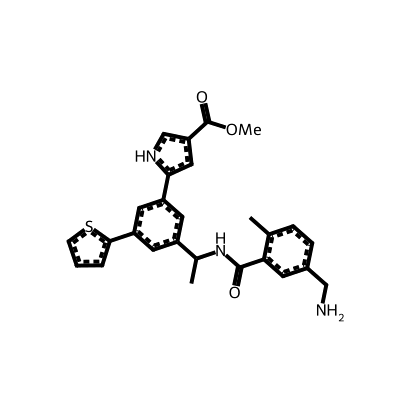 COC(=O)c1c[nH]c(-c2cc(-c3cccs3)cc(C(C)NC(=O)c3cc(CN)ccc3C)c2)c1